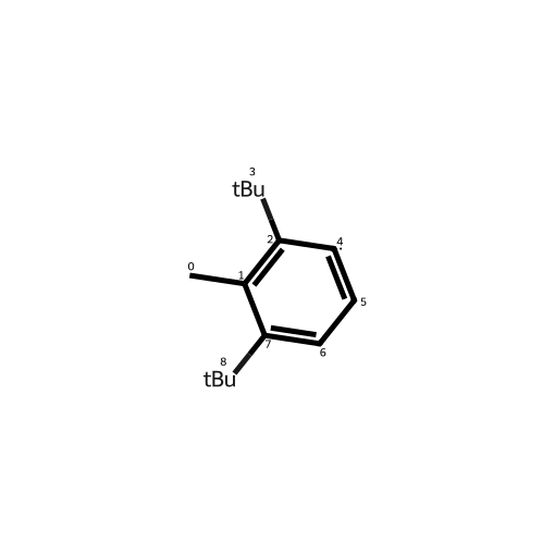 Cc1c(C(C)(C)C)[c]ccc1C(C)(C)C